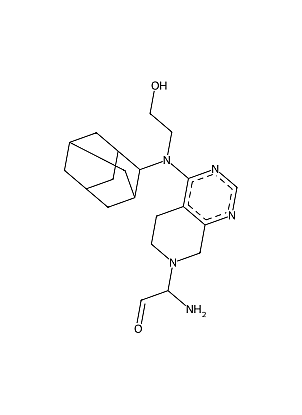 NC(C=O)N1CCc2c(ncnc2N(CCO)C2C3CC4CC(C3)CC2C4)C1